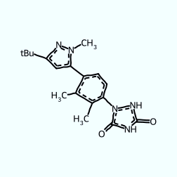 Cc1c(-c2cc(C(C)(C)C)nn2C)ccc(-n2[nH]c(=O)[nH]c2=O)c1C